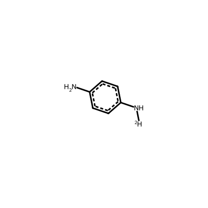 [2H]Nc1ccc(N)cc1